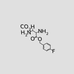 NC(C(=O)O)C(N)C(=O)OCc1ccc(F)cc1